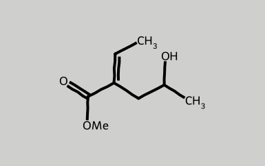 CC=C(CC(C)O)C(=O)OC